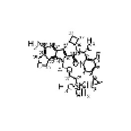 CC(c1ncc(C2CC2)cc1F)N(C(=O)c1cc2nc(N)c3c(c2n1COCC[Si](C)(C)C)COC3)C1CCC1